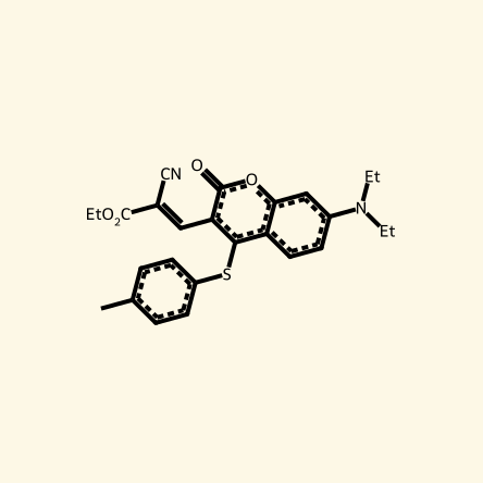 CCOC(=O)C(C#N)=Cc1c(Sc2ccc(C)cc2)c2ccc(N(CC)CC)cc2oc1=O